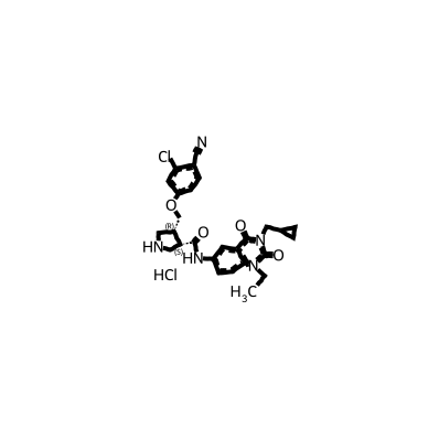 CCn1c(=O)n(CC2CC2)c(=O)c2cc(NC(=O)[C@@H]3CNC[C@@H]3COc3ccc(C#N)c(Cl)c3)ccc21.Cl